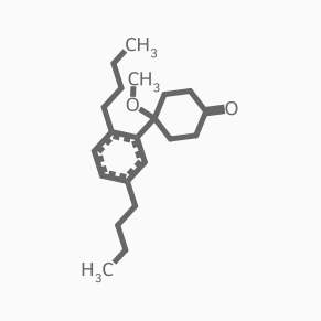 CCCCc1ccc(CCCC)c(C2(OC)CCC(=O)CC2)c1